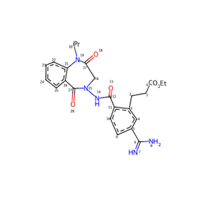 CCOC(=O)CCc1cc(C(=N)N)ccc1C(=O)NN1CC(=O)N(C(C)C)c2ccccc2C1=O